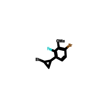 CCC1[CH]C1c1ccc(Br)c(OC)c1F